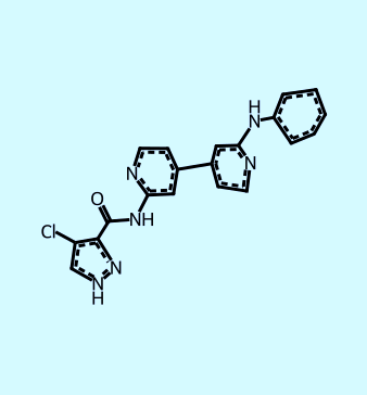 O=C(Nc1cc(-c2ccnc(Nc3ccccc3)c2)ccn1)c1n[nH]cc1Cl